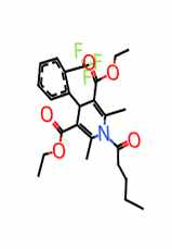 CCCCC(=O)N1C(C)=C(C(=O)OCC)C(c2ccccc2C(F)(F)F)C(C(=O)OCC)=C1C